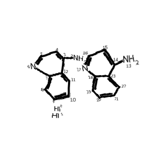 I.I.Nc1ccnc2ccccc12.Nc1ccnc2ccccc12